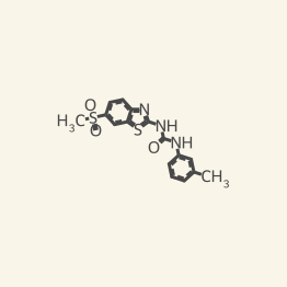 Cc1cccc(NC(=O)Nc2nc3ccc(S(C)(=O)=O)cc3s2)c1